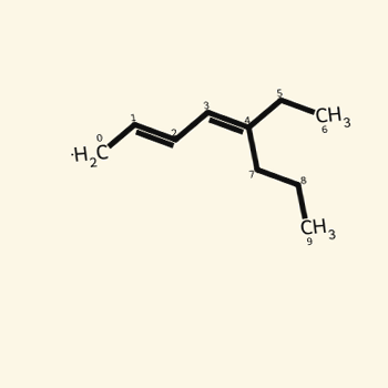 [CH2]C=CC=C(CC)CCC